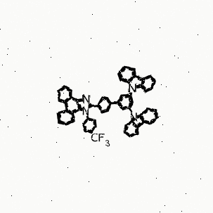 FC(F)(F)c1ccc(-n2c(-c3ccc(-c4cc(-n5c6ccccc6c6ccccc65)cc(-n5c6ccccc6c6ccccc65)c4)cc3)nc3c4ccccc4c4ccccc4c32)cc1